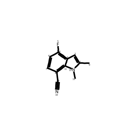 Cc1cc2c(F)ccc(C#N)c2n1C